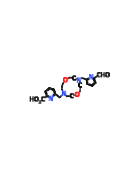 O=Cc1cccc(CN2CCOCCN(Cc3cccc(C(=O)O)n3)CCOCC2)n1